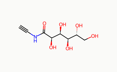 C#CNC(=O)[C@H](O)[C@@H](O)[C@H](O)[C@H](O)CO